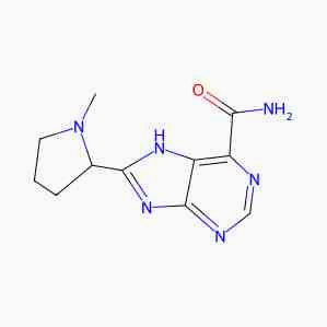 CN1CCCC1c1nc2ncnc(C(N)=O)c2[nH]1